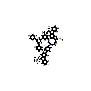 C=C1/C=C\C=C/CN(c2cccc(-c3nc(-c4ccccc4)nc(-c4cccc(-n5c6ccccc6c6cc7c(cc65)C(C)(C)c5ccccc5-7)c4)n3)c2)c2cc3c(cc21)-c1ccccc1C3(C)C